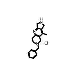 Cc1c2c(nc3c1CN(Cc1ccccc1)CC3)CNC2.Cl